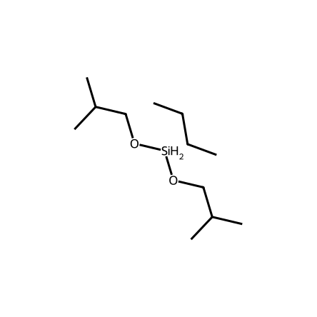 CC(C)CO[SiH2]OCC(C)C.CCCC